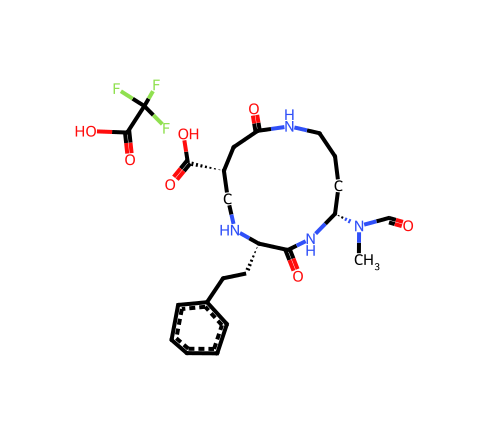 CN(C=O)[C@H]1CCCNC(=O)C[C@@H](C(=O)O)CN[C@@H](CCc2ccccc2)C(=O)N1.O=C(O)C(F)(F)F